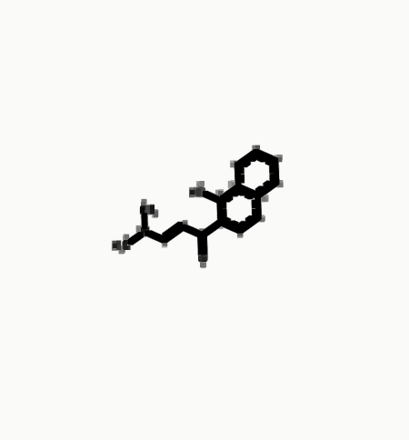 CN(C)/C=C/C(=O)c1ccc2ccccc2c1O